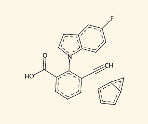 C#Cc1cccc(C(=O)O)c1-n1ccc2cc(F)ccc21.c1cc2cc-2c1